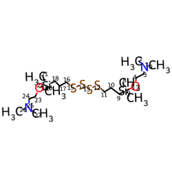 CN(C)CCO[Si](C)(C)CCCSSSSCCC[Si](C)(C)OCCN(C)C